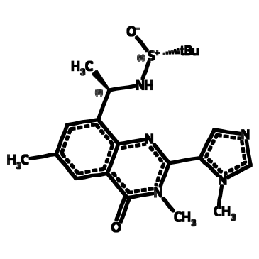 Cc1cc([C@@H](C)N[S@+]([O-])C(C)(C)C)c2nc(-c3cncn3C)n(C)c(=O)c2c1